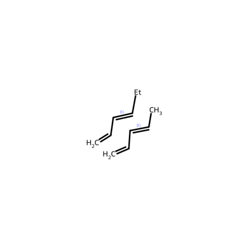 C=C/C=C/C.C=C/C=C/CC